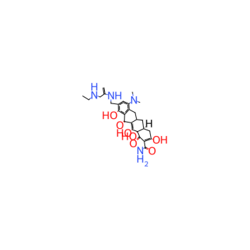 C=C(CNCC)NCc1cc(N(C)C)c2c(c1O)C(=O)C1=C(O)[C@]3(O)C(=O)C(C(N)=O)=C(O)C[C@@H]3CC1C2